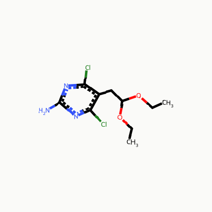 CCOC(Cc1c(Cl)nc(N)nc1Cl)OCC